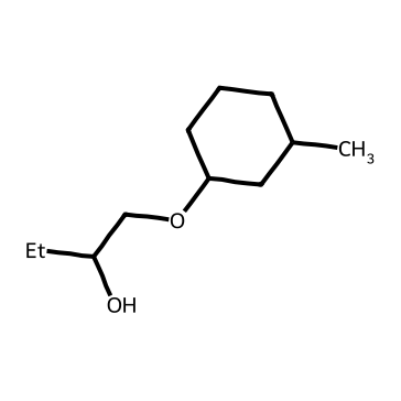 CCC(O)COC1CCCC(C)C1